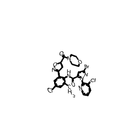 Cc1cc(Cl)cc(C2=NOC(C(=O)N3CCOCC3)C2)c1NC(=O)c1cc(Br)nn1-c1ncccc1Cl